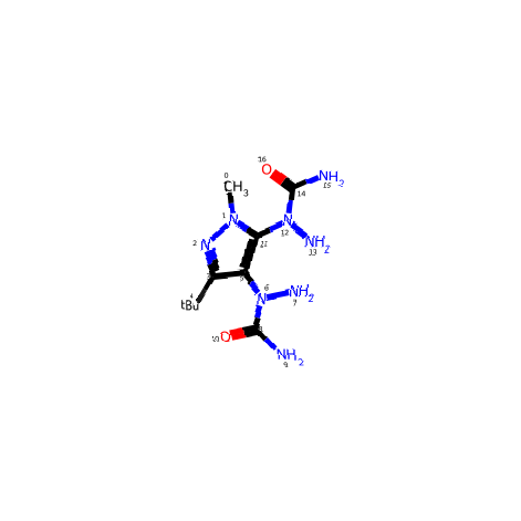 Cn1nc(C(C)(C)C)c(N(N)C(N)=O)c1N(N)C(N)=O